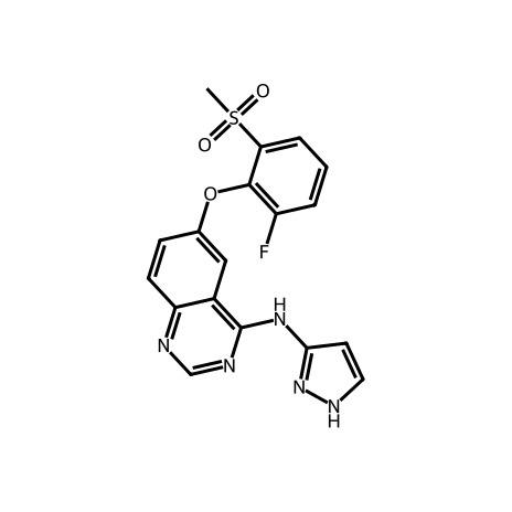 CS(=O)(=O)c1cccc(F)c1Oc1ccc2ncnc(Nc3cc[nH]n3)c2c1